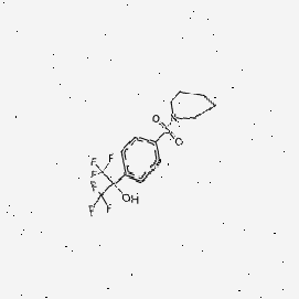 O=S(=O)(c1ccc(C(O)(C(F)(F)F)C(F)(F)F)cc1)N1CCCCC1